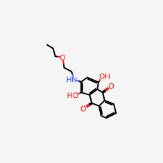 CCCOCCNc1cc(O)c2c(c1O)C(=O)c1ccccc1C2=O